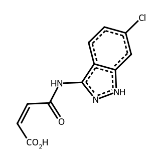 O=C(O)/C=C\C(=O)Nc1n[nH]c2cc(Cl)ccc12